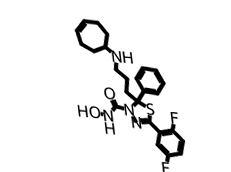 O=C(NO)N1N=C(c2cc(F)ccc2F)SC1(CCCNC1CCC=CCC1)c1ccccc1